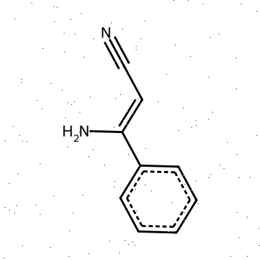 N#C/C=C(\N)c1ccccc1